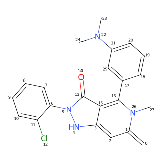 C=C1C=c2[nH]n(-c3ccccc3Cl)c(=O)c2=C(c2cccc(N(C)C)c2)N1C